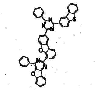 c1ccc(-c2nc(-c3ccc4oc5c(-c6nc(-c7ccccc7)c7oc8ccccc8c7n6)cccc5c4c3)nc(-c3ccc4sc5ccccc5c4c3)n2)cc1